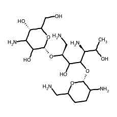 CC(O)[C@H](N)C(O[C@H]1OC(CN)CCC1N)C(O)[C@H](CN)O[C@H]1OC(CO)[C@@H](O)C(N)C1O